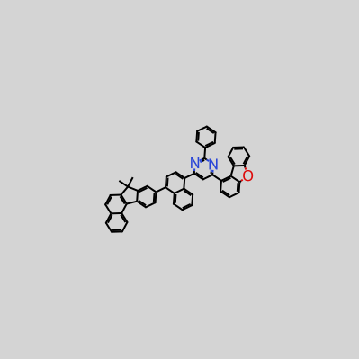 CC1(C)c2cc(-c3ccc(-c4cc(-c5cccc6oc7ccccc7c56)nc(-c5ccccc5)n4)c4ccccc34)ccc2-c2c1ccc1ccccc21